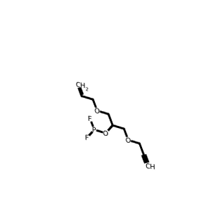 C#CCOCC(COCC=C)OP(F)F